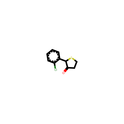 O=C1CCSC1c1ccccc1Cl